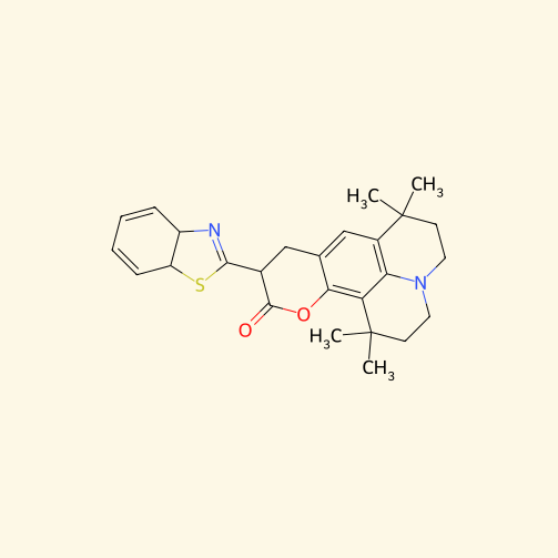 CC1(C)CCN2CCC(C)(C)c3c4c(cc1c32)CC(C1=NC2C=CC=CC2S1)C(=O)O4